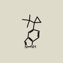 CC(C)(C)C1(c2ccc3[nH]ncc3c2)CC1